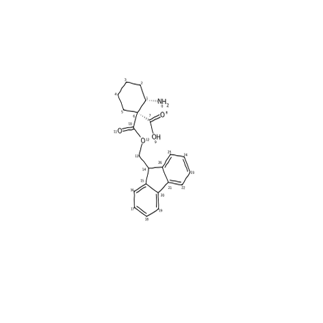 N[C@H]1CCCC[C@]1(C(=O)O)C(=O)OCC1c2ccccc2-c2ccccc21